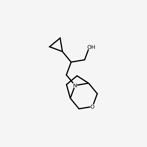 OCC(CN1C2CCC1COC2)C1CC1